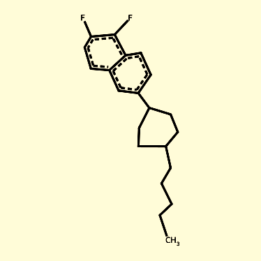 CCCCCC1CCC(c2ccc3c(F)c(F)ccc3c2)CC1